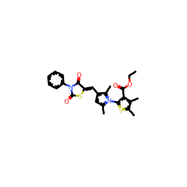 CCOC(=O)c1c(-n2c(C)cc(C=C3SC(=O)N(c4ccccc4)C3=O)c2C)sc(C)c1C